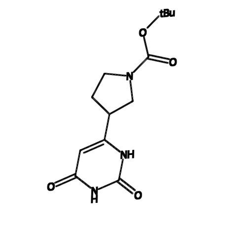 CC(C)(C)OC(=O)N1CCC(c2cc(=O)[nH]c(=O)[nH]2)C1